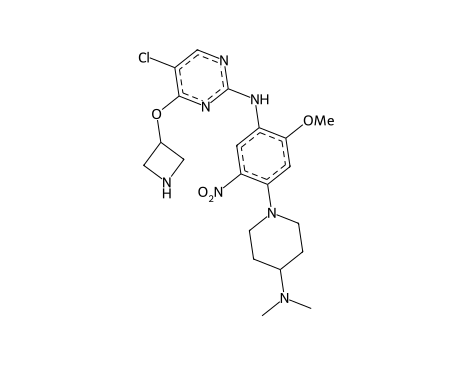 COc1cc(N2CCC(N(C)C)CC2)c([N+](=O)[O-])cc1Nc1ncc(Cl)c(OC2CNC2)n1